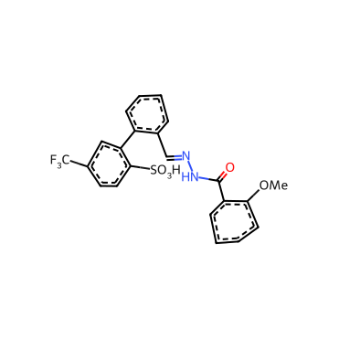 COc1ccccc1C(=O)N/N=C/c1ccccc1-c1cc(C(F)(F)F)ccc1S(=O)(=O)O